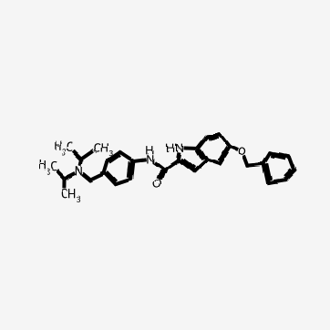 CC(C)N(Cc1ccc(NC(=O)c2cc3cc(OCc4ccccc4)ccc3[nH]2)cc1)C(C)C